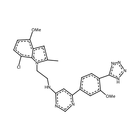 COc1cc(-c2cc(NCCn3c(C)cc4c(OC)ccc(Cl)c43)ncn2)ccc1-c1nnn[nH]1